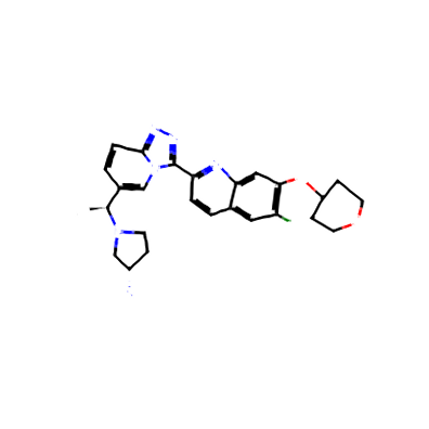 C[C@@H](c1ccc2nnc(-c3ccc4cc(F)c(OC5CCOCC5)cc4n3)n2c1)N1CC[C@H](N)C1